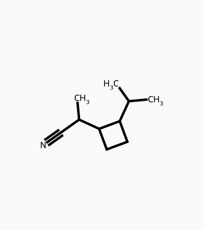 CC(C)C1CCC1C(C)C#N